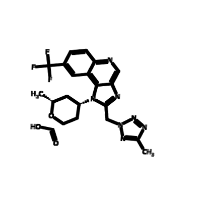 Cc1nnn(Cc2nc3cnc4ccc(C(F)(F)F)cc4c3n2[C@@H]2CCO[C@H](C)C2)n1.O=CO